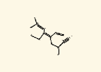 C=C/C(CC(C)C#N)=C(\C=C(C)C)CC